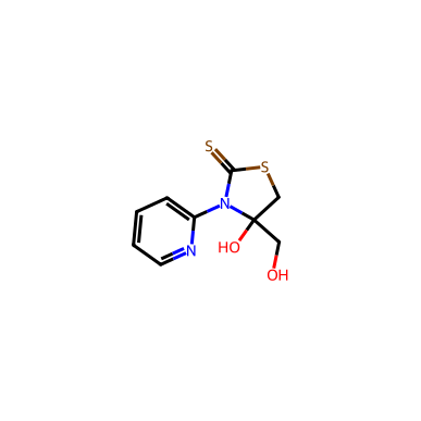 OCC1(O)CSC(=S)N1c1ccccn1